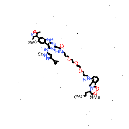 CCn1nc(C2CC2)cc1Nc1nc(C(=O)NCCCOCCOCCOCCCNc2cccc3c2CN(C(CCC=O)C(=O)NC)C3=O)nc2[nH]c3cc(-c4c(C)noc4C)c(OC)cc3c12